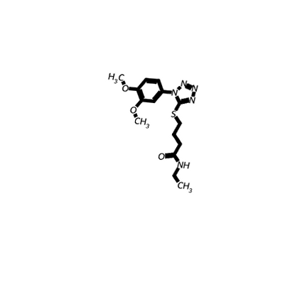 CCNC(=O)CCCSc1nnnn1-c1ccc(OC)c(OC)c1